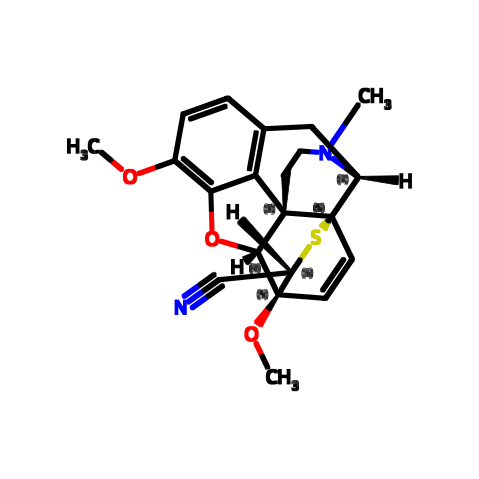 COc1ccc2c3c1O[C@H]1[C@@]4(OC)C=C[C@@]5(S[C@H]4C#N)[C@@H](C2)N(C)CC[C@]315